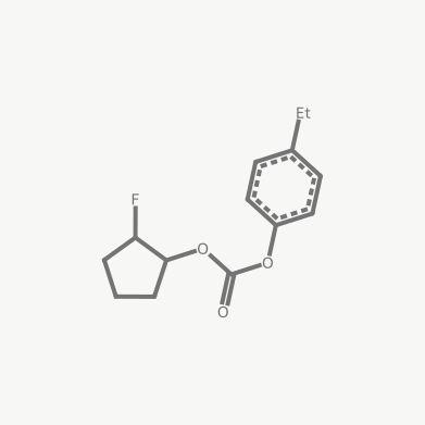 CCc1ccc(OC(=O)OC2CCCC2F)cc1